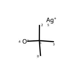 CC(C)(C)[O-].[Ag+]